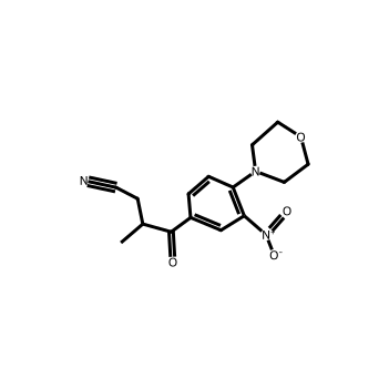 CC(CC#N)C(=O)c1ccc(N2CCOCC2)c([N+](=O)[O-])c1